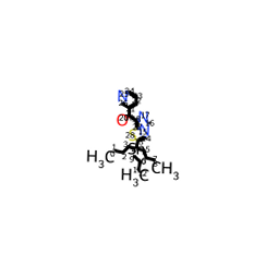 CCC[CH2][Sn]([CH2]CCC)([CH2]CCC)[c]1cn2cnc(C(=O)c3cccnc3)c2s1